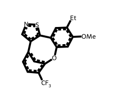 CCc1cc2c(cc1OC)Oc1cc(ccc1C(F)(F)F)-c1cnsc1-2